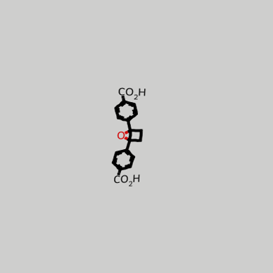 O=C(O)c1ccc(C23CCC2(c2ccc(C(=O)O)cc2)O3)cc1